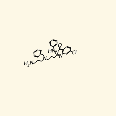 NCCCN(CCCc1nc2cc(Cl)ccc2c(=O)n1Nc1ccccc1)Cc1ccccc1